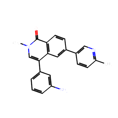 Cc1ccc(-c2ccc3c(=O)n(C)cc(-c4cccc(N)c4)c3c2)cn1